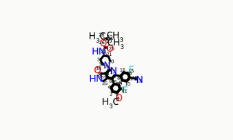 COc1ccc(-c2c(-c3ccc(C#N)c(F)c3)nc(N3CCC(NC(=O)OC(C)(C)C)CC3)c3c2CNC3=O)cc1F